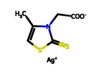 Cc1csc(=S)n1CC(=O)[O-].[Ag+]